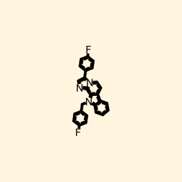 Fc1ccc(Cn2c3ccccc3c3ccn4c(-c5ccc(F)cc5)cnc4c32)cc1